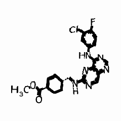 COC(=O)[C@H]1CC[C@H](CNc2ncc3ncnc(Nc4ccc(F)c(Cl)c4)c3n2)CC1